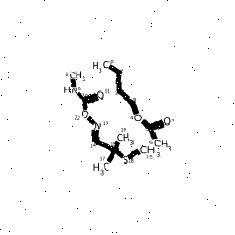 CCCCOC(C)=O.CNC(=O)O/N=C/C(C)(C)SC